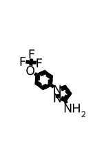 Nc1ccn(-c2ccc(OC(F)(F)F)cc2)n1